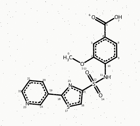 COc1cc(C(=O)O)ccc1NS(=O)(=O)c1csc(-c2cccnc2)n1